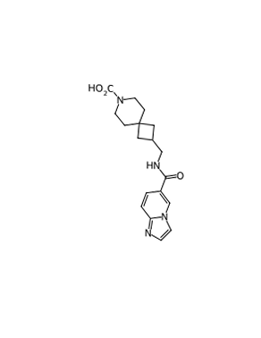 O=C(NCC1CC2(CCN(C(=O)O)CC2)C1)c1ccc2nccn2c1